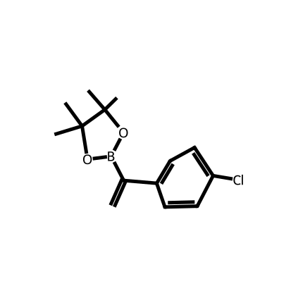 C=C(B1OC(C)(C)C(C)(C)O1)c1ccc(Cl)cc1